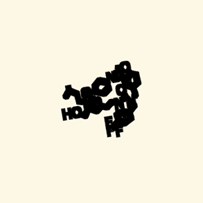 CC(C)CCN(C(CO)CCCCNC(=O)N(Cc1ccc(C(F)(F)F)cc1)Cc1ccc2c(c1)OCO2)S(=O)(=O)c1ccc(N)cc1